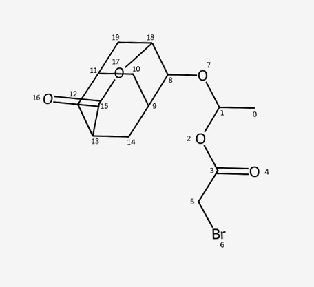 CC(OC(=O)CBr)OC1C2CC3CC(C2)C(=O)OC1C3